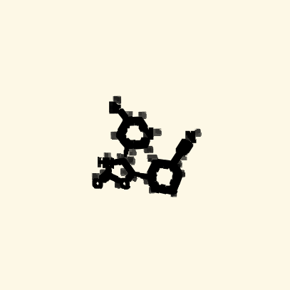 N#Cc1cccc([C@H]2OC(=O)N[C@@H]2c2cncc(Br)c2)c1